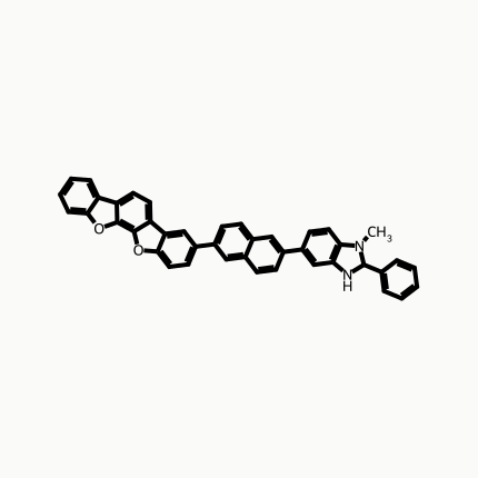 CN1c2ccc(-c3ccc4cc(-c5ccc6oc7c(ccc8c9ccccc9oc87)c6c5)ccc4c3)cc2NC1c1ccccc1